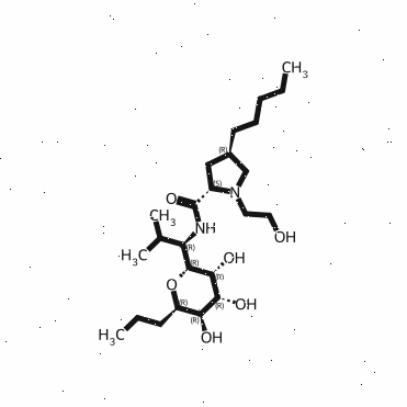 CCCCC[C@@H]1C[C@@H](C(=O)N[C@H](C(C)C)[C@H]2O[C@H](CCC)[C@H](O)[C@@H](O)[C@H]2O)N(CCO)C1